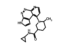 CC1CCC(C(=O)NC2CC2)CN1c1ccnc2nnc3[nH]ccc3c12